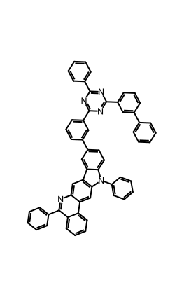 c1ccc(-c2cccc(-c3nc(-c4ccccc4)nc(-c4cccc(-c5ccc6c(c5)c5cc7nc(-c8ccccc8)c8ccccc8c7cc5n6-c5ccccc5)c4)n3)c2)cc1